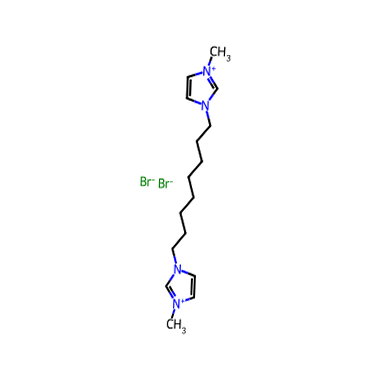 C[n+]1ccn(CCCCCCCCn2cc[n+](C)c2)c1.[Br-].[Br-]